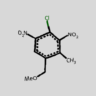 COCc1cc([N+](=O)[O-])c(Cl)c([N+](=O)[O-])c1C